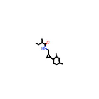 CCC(C)C(=O)NCC1CC1C1CCC(C)=CC1C